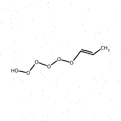 C/C=C/OOOOOO